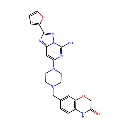 Nc1nc(N2CCN(Cc3ccc4c(c3)OCC(=O)N4)CC2)cc2nc(-c3ccco3)nn12